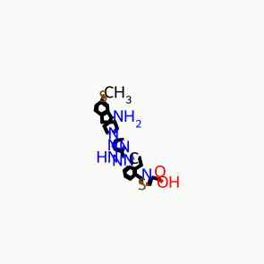 CSc1ccc2c(c1)[C@@H](N)C1(CCN(c3cnc4c(N5CCCc6c(-c7nc(C(=O)O)cs7)cccc65)n[nH]c4n3)CC1)C2